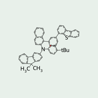 CC(C)(C)c1ccc(N(c2ccc3c(c2)-c2ccccc2C3(C)C)c2ccc3ccccc3c2-c2cccc(-c3cccc4c3sc3ccccc34)c2)cc1